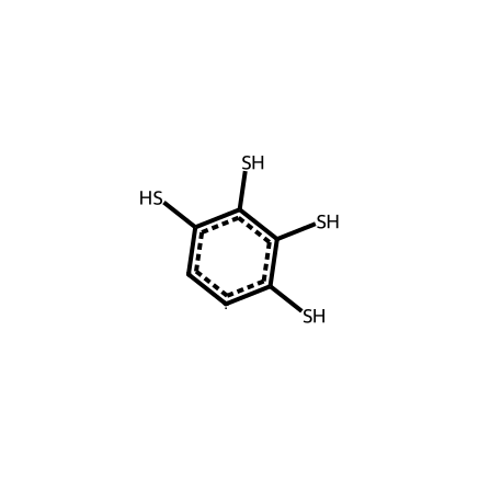 Sc1[c]cc(S)c(S)c1S